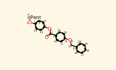 CCCCCOc1ccc(OC(=O)c2ccc(OCc3ccccc3)cc2)cc1